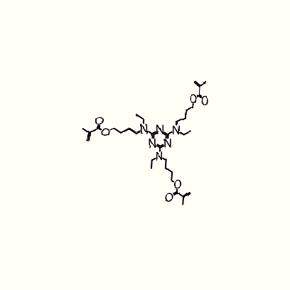 C=C(C)C(=O)OCCCCN(CC)c1nc(N(CC)CCCCOC(=O)C(=C)C)nc(N(CC)CCCCOC(=O)C(=C)C)n1